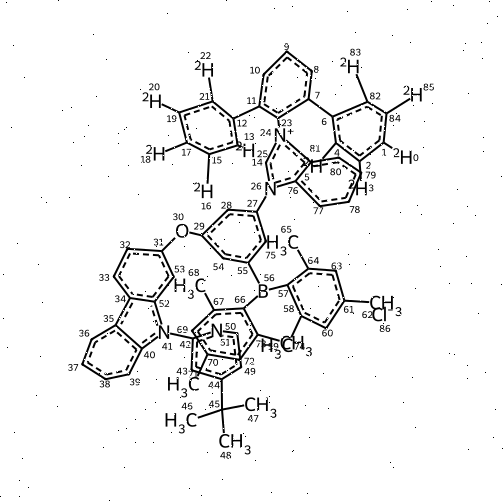 [2H]c1c([2H])c([2H])c(-c2cccc(-c3c([2H])c([2H])c([2H])c([2H])c3[2H])c2-[n+]2cn(-c3cc(Oc4ccc5c6ccccc6n(-c6cc(C(C)(C)C)ccn6)c5c4)cc(B(c4c(C)cc(C)cc4C)c4c(C)cc(C)cc4C)c3)c3ccccc32)c([2H])c1[2H].[Cl-]